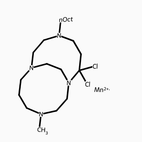 CCCCCCCCN1CCN2CCCN(C)CCN(CC2)C(Cl)(Cl)CC1.[Mn+2]